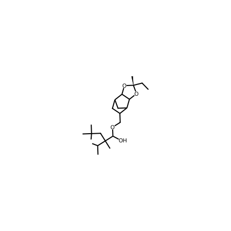 CC[C@@]1(C)OC2C3CC(COC(O)C(C)(CC(C)(C)C)C(C)C)C(C3)C2O1